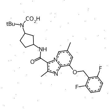 Cc1cc(OCc2c(F)cccc2F)c2nc(C)c(C(=O)NC3CCC(N(C(=O)O)C(C)(C)C)C3)n2c1